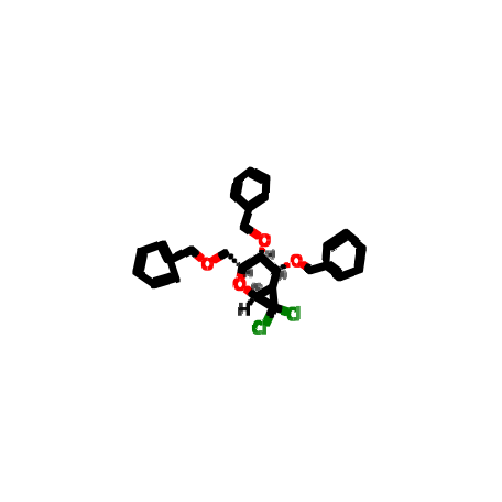 ClC1(Cl)C2[C@@H](OCc3ccccc3)[C@@H](OCc3ccccc3)[C@@H](COCc3ccccc3)O[C@@H]21